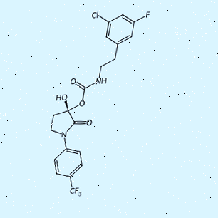 O=C(NCCc1cc(F)cc(Cl)c1)O[C@@]1(O)CCN(c2ccc(C(F)(F)F)cc2)C1=O